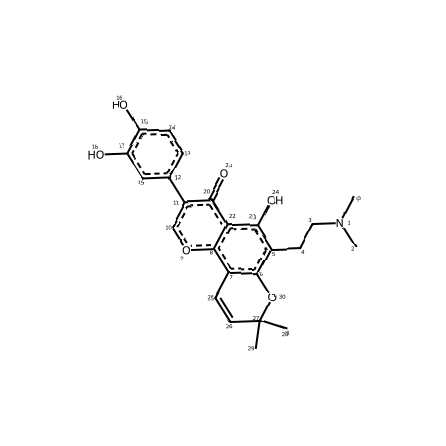 CN(C)CCc1c2c(c3occ(-c4ccc(O)c(O)c4)c(=O)c3c1O)C=CC(C)(C)O2